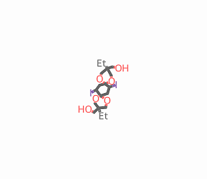 CCC1(CO)COC2(CC(I)C3(CC2I)OCC(CC)(CO)CO3)OC1